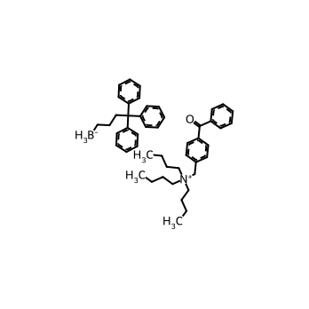 CCCC[N+](CCCC)(CCCC)Cc1ccc(C(=O)c2ccccc2)cc1.[BH3-]CCCC(c1ccccc1)(c1ccccc1)c1ccccc1